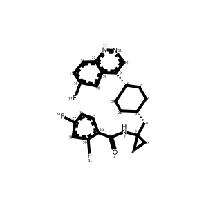 O=C(NC1(C[C@H]2CC[C@@H](c3cnnc4ccc(F)cc43)CC2)CC1)c1ccc(F)cc1F